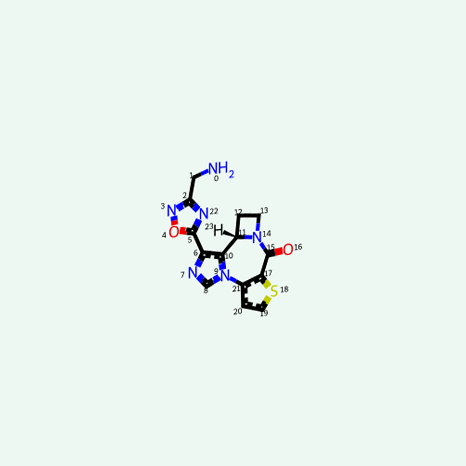 NCc1noc(-c2ncn3c2[C@@H]2CCN2C(=O)c2sccc2-3)n1